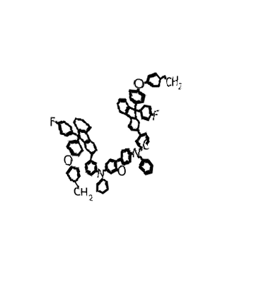 C=CC1C=CC(OC2=CC=C(C3(C4=CC=C(F)CC4)C4=C(C=CC(c5cccc(N(C6=CCCC=C6)c6ccc7c(c6)oc6cc(N(c8ccccc8)c8cccc(C9C=CC%10C%11=C(C=CCC%11)C(c%11ccc(OC%12=CCC(C=C)C=C%12)cc%11)(C%11C=CC(F)=CC%11)C%10C9)c8)ccc67)c5)C4)C4=C3CCCC4)CC2)=CC1